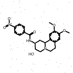 COc1cc2c(cc1OC)C1CC(NC(=O)c3ccc([N+](=O)[O-])cc3)CCN1CC2.Cl